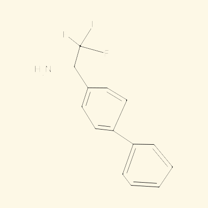 N[C@@H](c1ccc(-c2ccccc2)cc1)C(F)(F)F